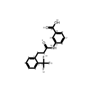 O=C(CCc1ccccc1C(F)(F)F)Nc1cccc(C(=O)O)c1